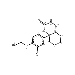 CC(C)(C)COc1ccc(C23CCCCC2=NNC(=O)N3)cc1Cl